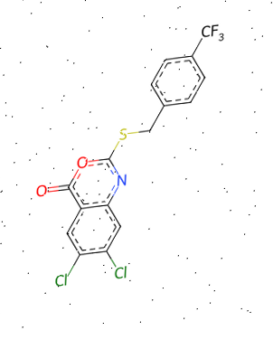 O=c1oc(SCc2ccc(C(F)(F)F)cc2)nc2cc(Cl)c(Cl)cc12